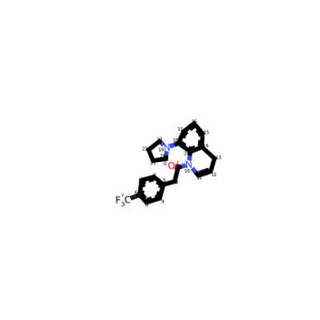 O=C(Cc1ccc(C(F)(F)F)cc1)N1C=CCc2cccc(N3CCCC3)c21